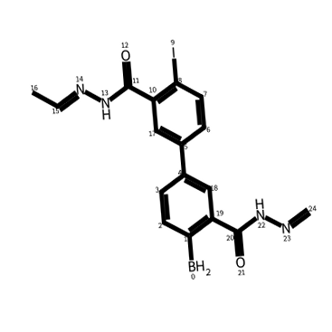 Bc1ccc(-c2ccc(I)c(C(=O)N/N=C/C)c2)cc1C(=O)NN=C